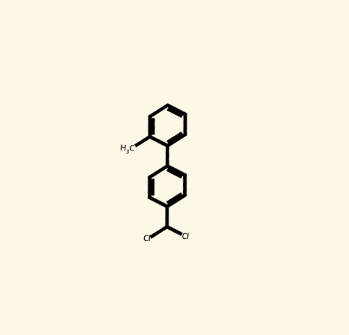 Cc1ccccc1-c1ccc(C(Cl)Cl)cc1